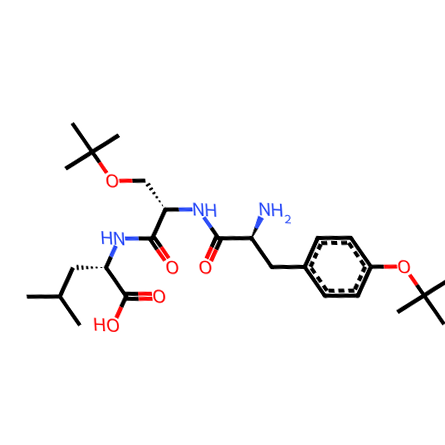 CC(C)C[C@H](NC(=O)[C@H](COC(C)(C)C)NC(=O)[C@@H](N)Cc1ccc(OC(C)(C)C)cc1)C(=O)O